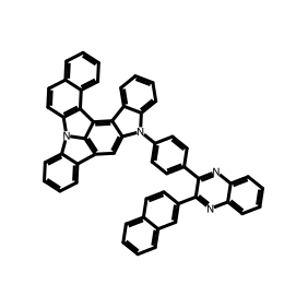 c1ccc2cc(-c3nc4ccccc4nc3-c3ccc(-n4c5ccccc5c5c6c7c8ccccc8ccc7n7c8ccccc8c(cc54)c67)cc3)ccc2c1